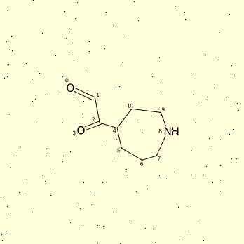 O=CC(=O)C1CCCNCC1